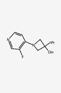 CCCC1(O)CN(c2ccncc2F)C1